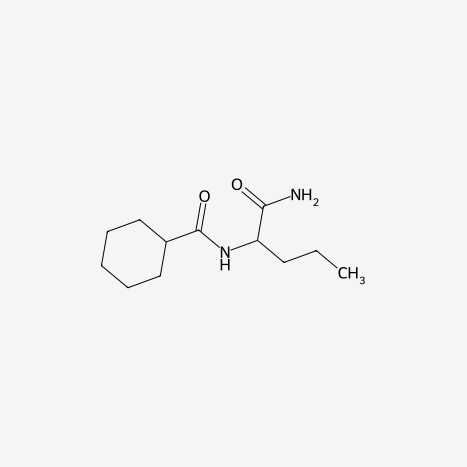 CCCC(NC(=O)C1CCCCC1)C(N)=O